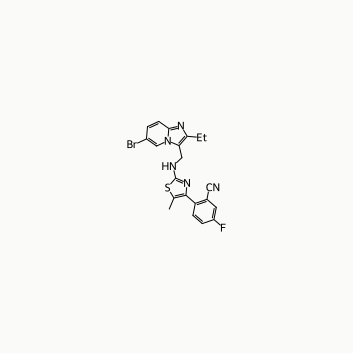 CCc1nc2ccc(Br)cn2c1CNc1nc(-c2ccc(F)cc2C#N)c(C)s1